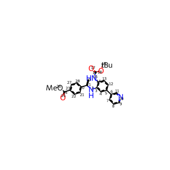 C=C(Nc1cc(-c2cccnc2)ccc1NC(=O)OC(C)(C)C)c1ccc(C(=O)OC)cc1